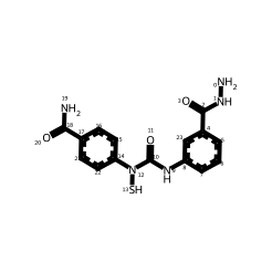 NNC(=O)c1cccc(NC(=O)N(S)c2ccc(C(N)=O)cc2)c1